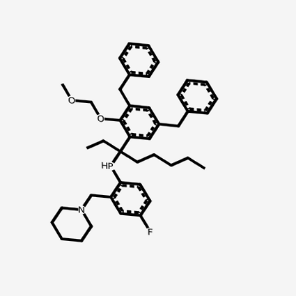 CCCCCC(CC)(Pc1ccc(F)cc1CN1CCCCC1)c1cc(Cc2ccccc2)cc(Cc2ccccc2)c1OCOC